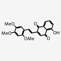 COc1cc(OC)c(OC)cc1C=CC1=CC(=O)c2c(O)cccc2C1=O